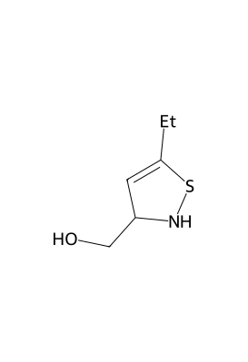 CCC1=CC(CO)NS1